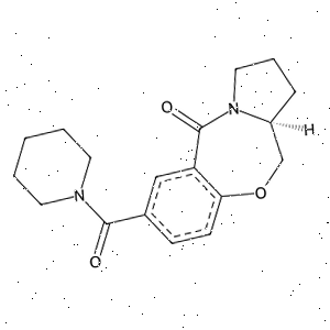 O=C(c1ccc2c(c1)C(=O)N1CCC[C@H]1CO2)N1CCCCC1